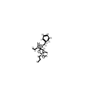 CCC[Si](OC)(OC)OC(C)(NCC)NCc1ccccc1